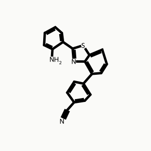 N#Cc1ccc(-c2cccc3sc(-c4ccccc4N)nc23)cc1